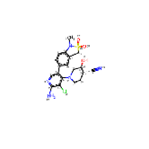 CN1c2ccc(-c3cnc(N)c(Cl)c3N3CC[C@@H](C#N)[C@H](O)C3)cc2CS1(=O)=O